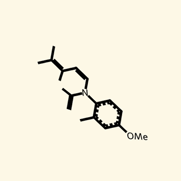 C=C(C)N(/C=C\C(C)=C(C)C)c1ccc(OC)cc1C